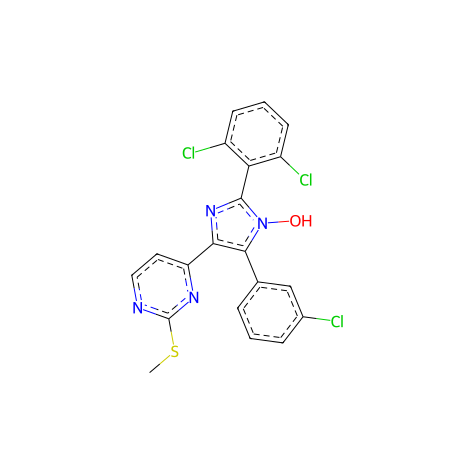 CSc1nccc(-c2nc(-c3c(Cl)cccc3Cl)n(O)c2-c2cccc(Cl)c2)n1